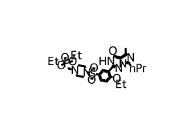 CCCc1nc(C)c2c(=O)[nH]c(-c3cc(S(=O)(=O)N4CCN(CP(=O)(OCC)OCC)CC4)ccc3OCC)nn12